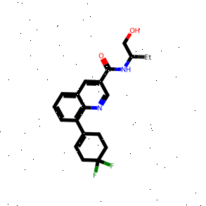 CCC(CO)NC(=O)c1cnc2c(C3=CCC(F)(F)CC3)cccc2c1